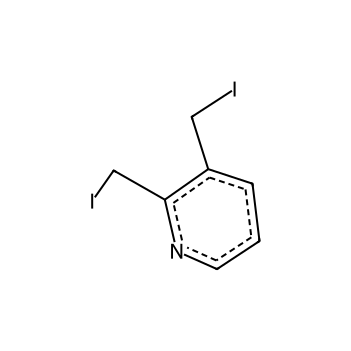 ICc1cccnc1CI